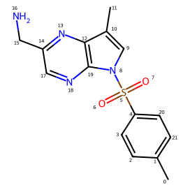 Cc1ccc(S(=O)(=O)n2cc(C)c3nc(CN)cnc32)cc1